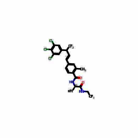 CCC[C@@H](NC(=O)c1ccc(/C=C/C(c2cc(Cl)c(Cl)c(Cl)c2)C(F)(F)F)cc1C)C(=O)NCC(F)(F)F